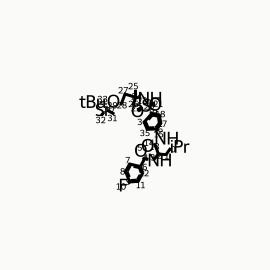 CC(C)CC(NC(=O)c1ccc(F)cc1)C(=O)Nc1ccc(S(=O)(=O)NC(C)(C)CCO[Si](C)(C)C(C)(C)C)cc1